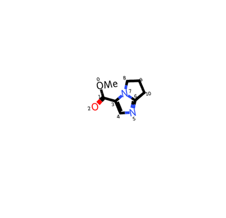 COC(=O)c1cnc2n1CCC2